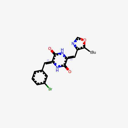 CC(C)(C)c1ocnc1/C=c1\[nH]c(=O)/c(=C/c2cccc(Br)c2)[nH]c1=O